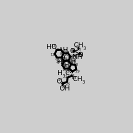 CCS(=O)(=O)N[C@H]1C[C@@H]2C[C@H](O)CC[C@]2(C)[C@H]2CC[C@]3(C)[C@@H](C(C)CCC(=O)O)CC[C@H]3[C@H]12